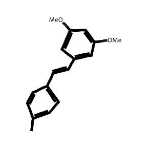 COc1cc(C=Cc2ccc(C)cc2)cc(OC)c1